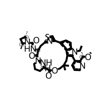 CCn1c(-c2cccnc2[C@H](C)OC)c2c3cc(ccc31)-c1csc(n1)C[C@H](NC(=O)N1[C@@H](C)C[C@@H]1C)C(=O)N1CCC[C@H](N1)C(=O)OCC(C)(C)C2